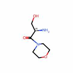 N[C@H](CO)C(=O)N1CCOCC1